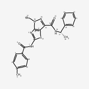 Cc1ccc(C(=O)Nc2nc3c(s2)c(C(=O)N[C@@H](C)c2ccccc2)nn3C(C)(C)C)cc1